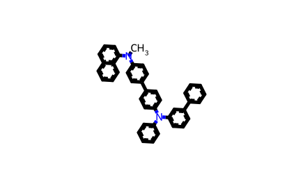 CN(c1ccc(-c2ccc(N(c3ccccc3)c3cccc(-c4ccccc4)c3)cc2)cc1)c1cccc2ccccc12